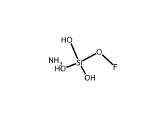 N.O[Si](O)(O)OF